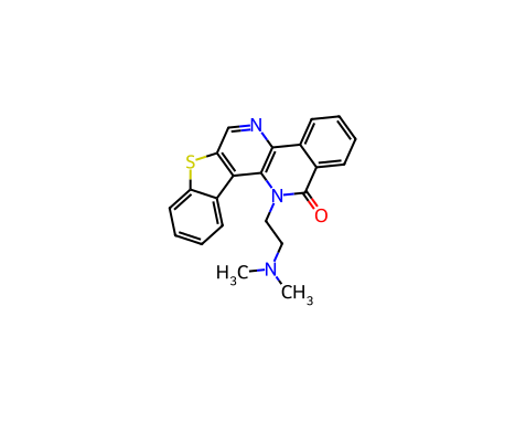 CN(C)CCn1c(=O)c2ccccc2c2ncc3sc4ccccc4c3c21